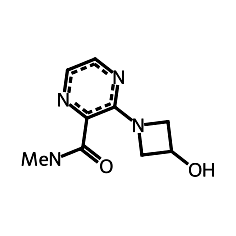 CNC(=O)c1nccnc1N1CC(O)C1